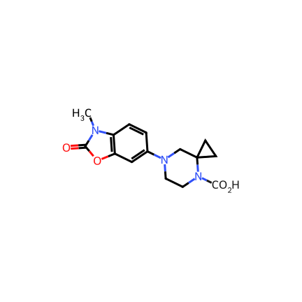 Cn1c(=O)oc2cc(N3CCN(C(=O)O)C4(CC4)C3)ccc21